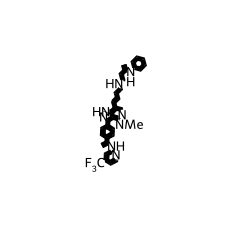 C=C(CCNCC/C=C/c1cnc(NC)c2c(-c3ccc(C(=C)Nc4cc(C(F)(F)F)ccn4)cc3)n[nH]c12)NC1CCCCC1